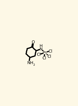 NC1CCC(=O)C([NH][Pt]([Cl])([Cl])([Cl])[Cl])C1